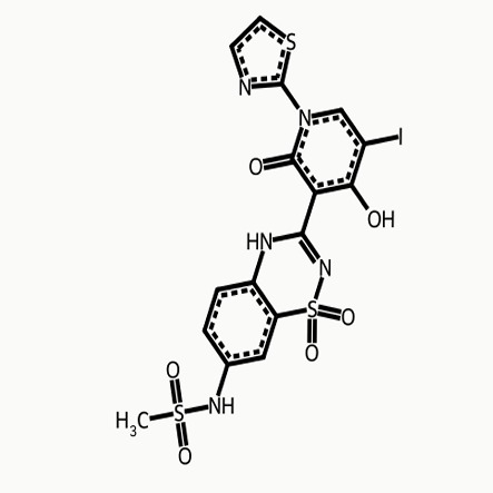 CS(=O)(=O)Nc1ccc2c(c1)S(=O)(=O)N=C(c1c(O)c(I)cn(-c3nccs3)c1=O)N2